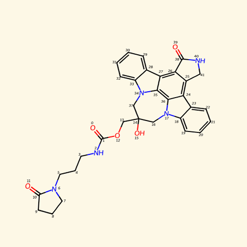 O=C(NCCCN1CCCC1=O)OCC1(O)Cn2c3ccccc3c3c4c(c5c6ccccc6n(c5c32)C1)C(=O)NC4